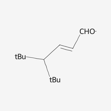 CC(C)(C)C(C=C[C]=O)C(C)(C)C